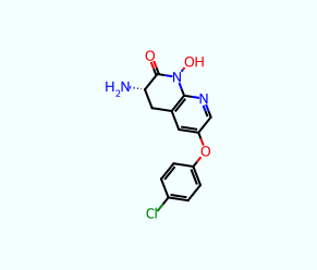 N[C@H]1Cc2cc(Oc3ccc(Cl)cc3)cnc2N(O)C1=O